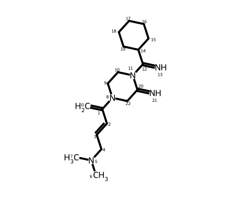 C=C(/C=C/CN(C)C)N1CCN(C(=N)C2CCCCC2)C(=N)C1